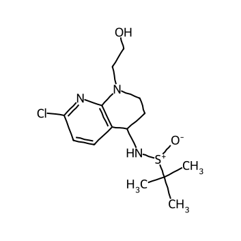 CC(C)(C)[S+]([O-])NC1CCN(CCO)c2nc(Cl)ccc21